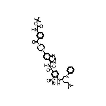 CN(C)CC[C@H](CSc1ccccc1)Nc1ccc(S(=O)(=O)Nc2ncnc3cc(N4CCN(C(=O)c5cccc(NC(=O)OC(C)(C)C)c5)CC4)ccc23)cc1[N+](=O)[O-]